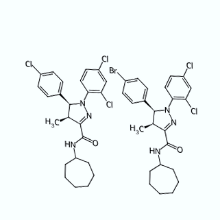 C[C@@H]1C(C(=O)NC2CCCCCC2)=NN(c2ccc(Cl)cc2Cl)[C@@H]1c1ccc(Br)cc1.C[C@@H]1C(C(=O)NC2CCCCCC2)=NN(c2ccc(Cl)cc2Cl)[C@@H]1c1ccc(Cl)cc1